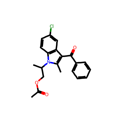 CC(=O)OCC(C)n1c(C)c(C(=O)c2ccccc2)c2cc(Cl)ccc21